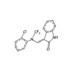 O=C1Nc2ccccc2C1=CN(c1ccccc1Cl)C(F)(F)F